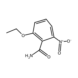 CCOc1cccc([N+](=O)[O-])c1C(N)=O